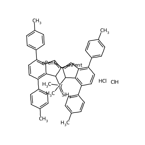 CCCCCC1=Cc2c(-c3ccc(C)cc3)ccc(-c3ccc(C)cc3)c2[CH]1[Zr]([CH3])([CH3])(=[SiH2])[CH]1C(CCCCC)=Cc2c(-c3ccc(C)cc3)ccc(-c3ccc(C)cc3)c21.Cl.Cl